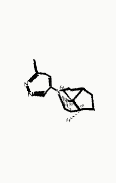 Cc1cc(N2CC3CC[C@@H](C2)[C@@H]3N)cnn1